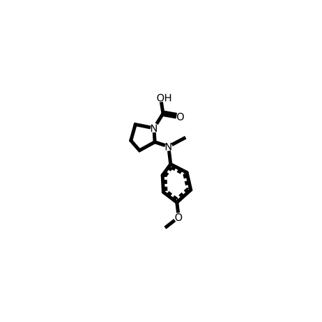 COc1ccc(N(C)C2CCCN2C(=O)O)cc1